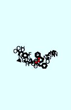 O=C(O)c1cn(C2CC2)c2c3c(c(F)cc2c1=O)N1C[C@@](COc2ccc(N4CC(Cn5ccnn5)OC4=O)cc2F)(OP(=O)(OCc2ccccc2)OCc2ccccc2)C[C@H]1CO3